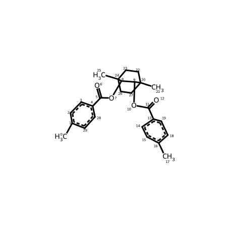 Cc1ccc(C(=O)OC2C(OC(=O)c3ccc(C)cc3)C3(C)CCC2(C)CC3)cc1